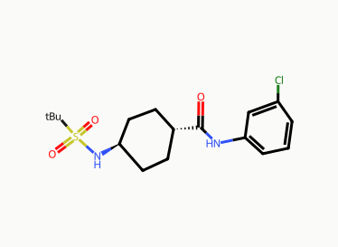 CC(C)(C)S(=O)(=O)N[C@H]1CC[C@H](C(=O)Nc2cccc(Cl)c2)CC1